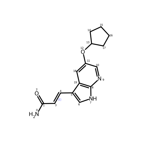 NC(=O)/C=C/c1c[nH]c2ncc(OC3CCCC3)cc12